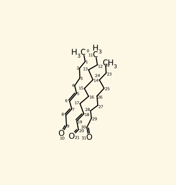 CCCCCC=CC=CC=O.CCCCCCCC=CC=O.CCCCCCCCC=O